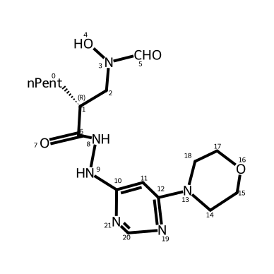 CCCCC[C@H](CN(O)C=O)C(=O)NNc1cc(N2CCOCC2)ncn1